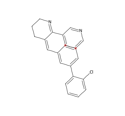 Clc1ccccc1-c1cccc(/C=C2/CCCN=C2c2cccnc2)c1